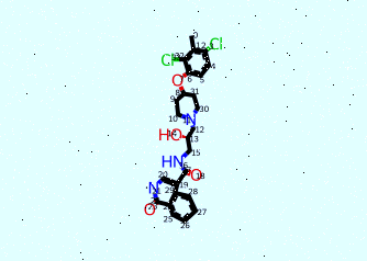 Cc1c(Cl)ccc(OC2CCN(C[C@H](O)CNC(=O)C3=C[N]C(=O)c4ccccc43)CC2)c1Cl